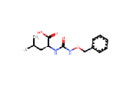 CC(C)C[C@H](NC(=O)NOCc1ccccc1)C(=O)O